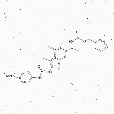 COc1ccc(NC(=O)Nc2sc3nc(C(C)NC(=O)OCc4ccccc4)oc(=O)c3c2C)cc1